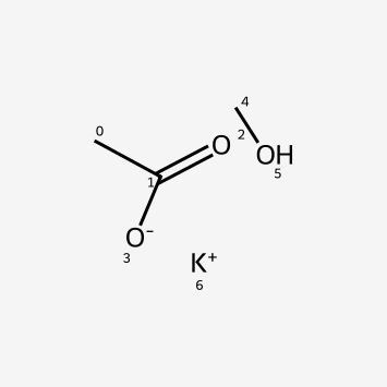 CC(=O)[O-].CO.[K+]